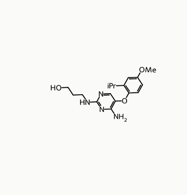 COc1ccc(Oc2cnc(NCCCO)nc2N)c(C(C)C)c1